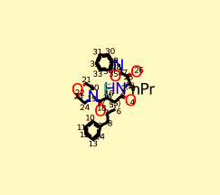 CCC[C@H](NC(=O)[C@H](CCCc1ccccc1)C(F)C(=O)N1CCOCC1)C(=O)c1nc2ccccc2o1